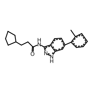 Cc1ccccc1-c1ccc2c(NC(=O)CCC3CCCC3)n[nH]c2c1